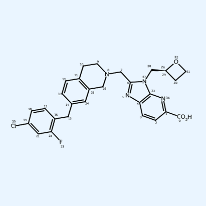 O=C(O)c1ccc2nc(CN3CCc4ccc(Cc5ccc(Cl)cc5F)cc4C3)n(C[C@@H]3CCO3)c2n1